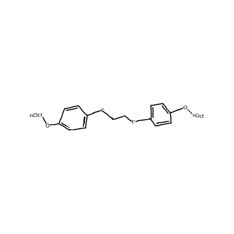 CCCCCCCCOc1ccc([I+]CC[I+]c2ccc(OCCCCCCCC)cc2)cc1